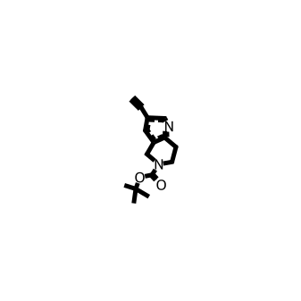 C#Cc1cnc2c(c1)CN(C(=O)OC(C)(C)C)CC2